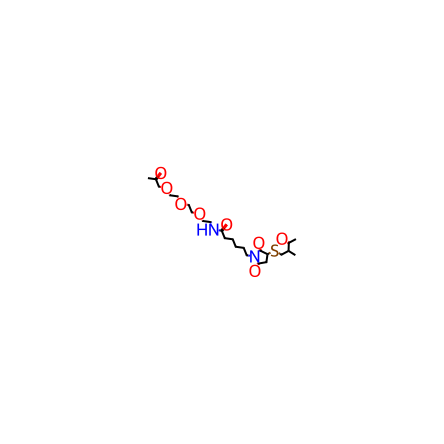 CC(=O)COCCOCCOCCNC(=O)CCCCCN1C(=O)CC(SCC(C)C(C)=O)C1=O